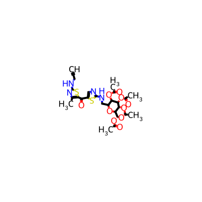 C#CCNc1nc(C)c(C(=O)c2cnc(NCC3OC(COC(C)=O)C(OC(C)=O)C(OC(C)=O)C3OC(C)=O)s2)s1